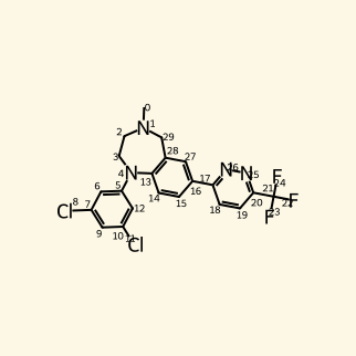 CN1CCN(c2cc(Cl)cc(Cl)c2)c2ccc(-c3ccc(C(F)(F)F)nn3)cc2C1